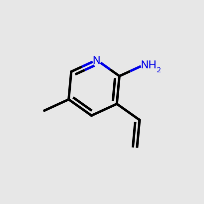 C=Cc1cc(C)cnc1N